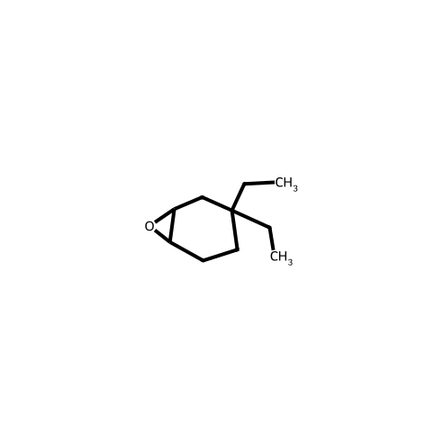 CCC1(CC)CCC2OC2C1